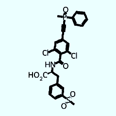 CP(=O)(C#Cc1cc(Cl)c(C(=O)N[C@@H](Cc2cccc(S(C)(=O)=O)c2)C(=O)O)c(Cl)c1)c1ccccc1